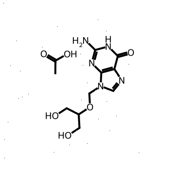 CC(=O)O.Nc1nc2c(ncn2COC(CO)CO)c(=O)[nH]1